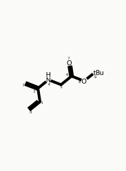 C=CC(=C)NCC(=O)OC(C)(C)C